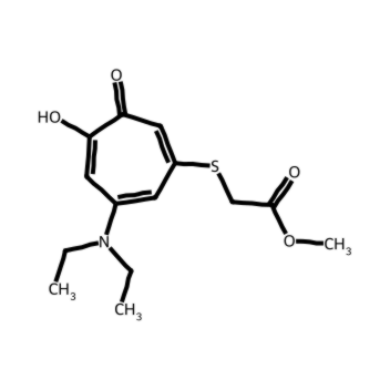 CCN(CC)c1cc(SCC(=O)OC)cc(=O)c(O)c1